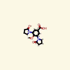 COc1c(N2CCCC2=O)cc(C(=O)O)cc1N1CCCC1=O